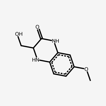 COc1ccc2c(c1)NC(=O)C(CO)N2